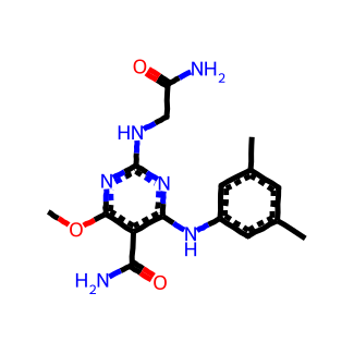 COc1nc(NCC(N)=O)nc(Nc2cc(C)cc(C)c2)c1C(N)=O